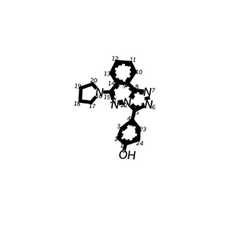 Oc1ccc(-c2nnc3c4ccccc4c(N4CCCC4)nn23)cc1